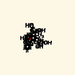 Cc1c(CN(CCO)CCO)c(C)c(C(=O)P(=O)(c2ccccc2)c2ccccc2)c(C)c1CN(CCO)CCO